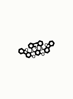 c1ccc2c(c1)oc1c3c(ccc12)Oc1cc2c4c5c1B3c1cccc3c6cccc(c6n-5c13)B4c1c(ccc3c1oc1ccccc13)O2